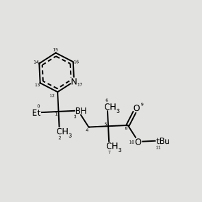 CCC(C)(BCC(C)(C)C(=O)OC(C)(C)C)c1ccccn1